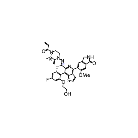 C=CC(=O)N1CCN(/N=C(\C)c2nc(-c3cc4c(cc3OC)C(=O)NC4)c3ccsc3c2-c2c(F)cc(F)cc2OCCO)C(=C)[C@H]1C